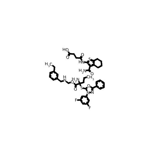 CCCC(N)(SC1OC(c2ccccc2)=NN1c1cc(F)cc(F)c1)C(=O)OCNCc1cccc(CC)c1.NC(=O)c1c(NC(=O)CCC(=O)O)sc2c1CCCC2